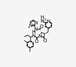 CCC(NC(=O)N1C(=O)[C@H](Cc2ccnc(N)c2)[C@H]1C(=O)N(C)c1nccn1C)c1ccc(C)cc1C